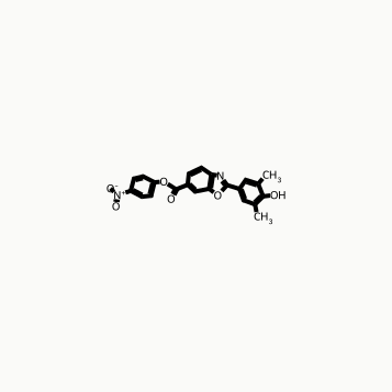 Cc1cc(-c2nc3ccc(C(=O)Oc4ccc([N+](=O)[O-])cc4)cc3o2)cc(C)c1O